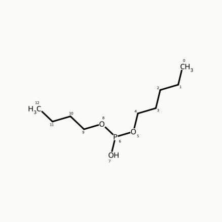 CCCCCOP(O)OCCCC